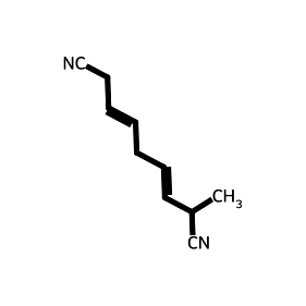 CC(C#N)C=CCC=CCC#N